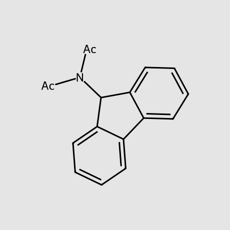 CC(=O)N(C(C)=O)C1c2ccccc2-c2ccccc21